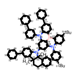 CC(C)(C)c1ccc(N2c3ccc(C(C)(C)C)cc3B3c4ccc(-c5ccccc5)cc4N(c4cccc(-c5ccccc5)c4)c4cc(N5c6ccc(-c7ccccc7)cc6C6(C)CCc7ccccc7C56C)cc2c43)cc1